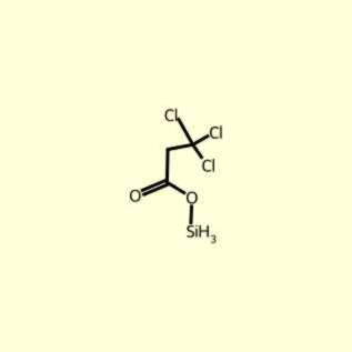 O=C(CC(Cl)(Cl)Cl)O[SiH3]